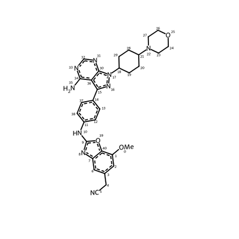 COc1cc(CC#N)cc2nc(Nc3ccc(-c4nn(C5CCC(N6CCOCC6)CC5)c5ncnc(N)c45)cc3)oc12